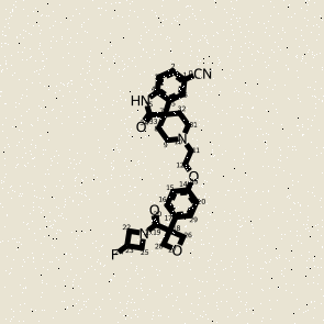 N#Cc1ccc2c(c1)C1(CCN(CCOc3ccc(C4(C(=O)N5CC(F)C5)COC4)cc3)CC1)C(=O)N2